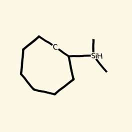 C[SiH](C)C1CCCCCCC1